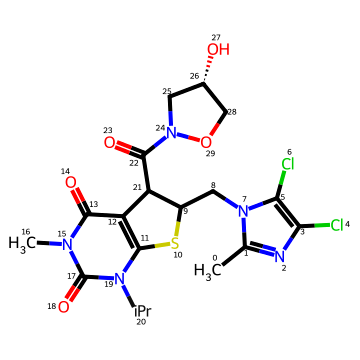 Cc1nc(Cl)c(Cl)n1CC1Sc2c(c(=O)n(C)c(=O)n2C(C)C)C1C(=O)N1C[C@H](O)CO1